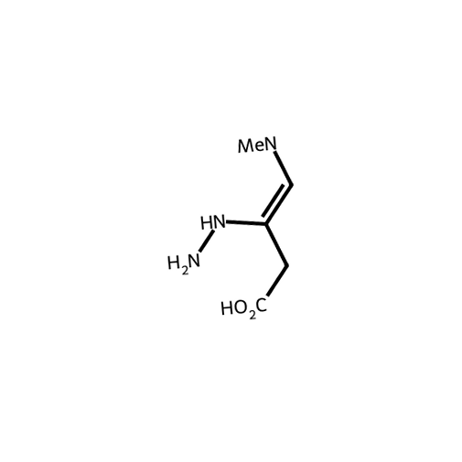 CN/C=C(/CC(=O)O)NN